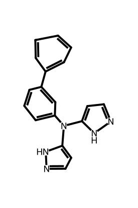 c1ccc(-c2cccc(N(c3ccn[nH]3)c3ccn[nH]3)c2)cc1